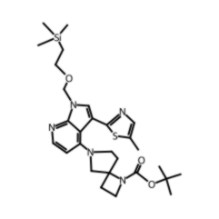 Cc1cnc(-c2cn(COCC[Si](C)(C)C)c3nccc(N4CCC5(CCN5C(=O)OC(C)(C)C)C4)c23)s1